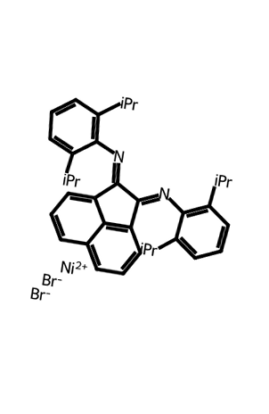 CC(C)c1cccc(C(C)C)c1N=C1C(=Nc2c(C(C)C)cccc2C(C)C)c2cccc3cccc1c23.[Br-].[Br-].[Ni+2]